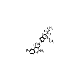 CCn1c(S(=O)(=O)CC)nc2c1CN([C@H]1CO[C@H](c3cc(F)ccc3F)[C@@H](N)C1)C2